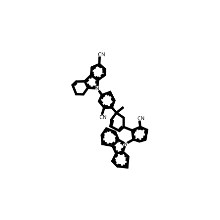 CC1(c2ccc(-n3c4c(c5cc(C#N)ccc53)C=CCC4)cc2C#N)C=CC=C(c2c(C#N)cccc2-n2c3ccccc3c3ccccc32)C1